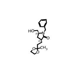 CC1(CC[C@H]2C[C@@H](CO)N(Cc3ccccc3)C2=O)OCCO1